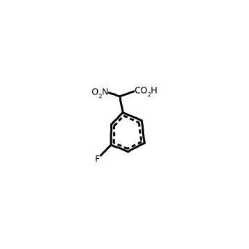 O=C(O)C(c1cccc(F)c1)[N+](=O)[O-]